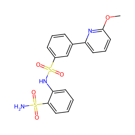 COc1cccc(-c2cccc(S(=O)(=O)Nc3ccccc3S(N)(=O)=O)c2)n1